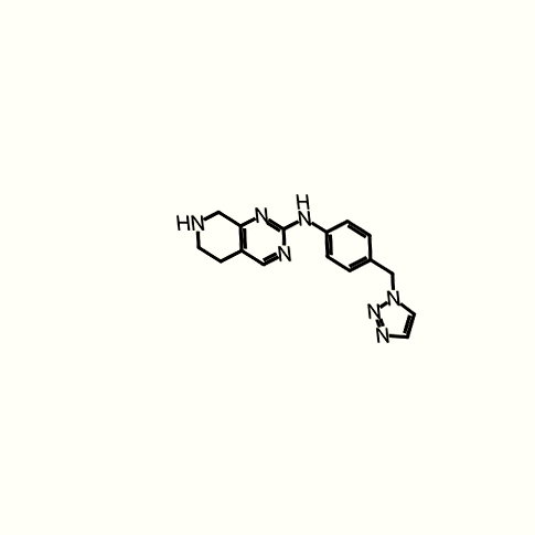 c1cn(Cc2ccc(Nc3ncc4c(n3)CNCC4)cc2)nn1